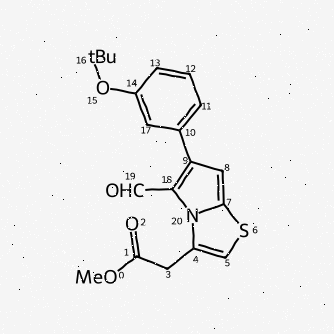 COC(=O)Cc1csc2cc(-c3cccc(OC(C)(C)C)c3)c(C=O)n12